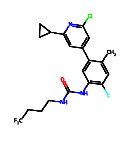 Cc1cc(F)c(NC(=O)NCCCC(F)(F)F)cc1-c1cc(Cl)nc(C2CC2)c1